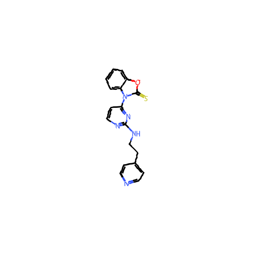 S=c1oc2ccccc2n1-c1ccnc(NCCc2ccncc2)n1